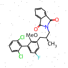 COc1c(C[C@H](C)CN2C(=O)c3ccccc3C2=O)cc(F)cc1-c1c(Cl)cccc1Cl